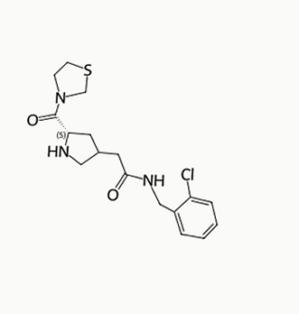 O=C(CC1CN[C@H](C(=O)N2CCSC2)C1)NCc1ccccc1Cl